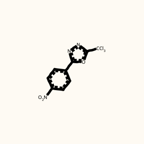 O=[N+]([O-])c1ccc(-c2nnc(C(Cl)(Cl)Cl)o2)cc1